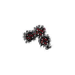 CC1([N+](c2c(F)c(F)c(F)c(F)c2F)(c2c(F)c(F)c(F)c(F)c2F)c2c(F)c(F)c(F)c(F)c2F)C(F)=C(F)C(F)=C(F)C1F.CC1([N+](c2c(F)c(F)c(F)c(F)c2F)(c2c(F)c(F)c(F)c(F)c2F)c2c(F)c(F)c(F)c(F)c2F)C(F)=C(F)C(F)=C(F)C1F.CC1([N+](c2c(F)c(F)c(F)c(F)c2F)(c2c(F)c(F)c(F)c(F)c2F)c2c(F)c(F)c(F)c(F)c2F)C(F)=C(F)C(F)=C(F)C1F.[O-]B([O-])[O-]